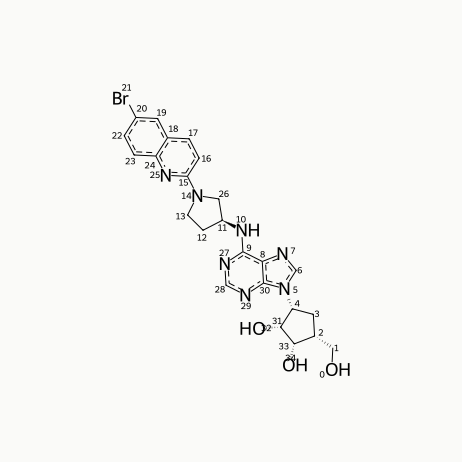 OC[C@H]1C[C@@H](n2cnc3c(N[C@H]4CCN(c5ccc6cc(Br)ccc6n5)C4)ncnc32)[C@@H](O)[C@H]1O